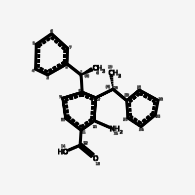 C[C@H](c1ccccc1)c1ccc(C(=O)O)c(N)c1[C@H](C)c1ccccc1